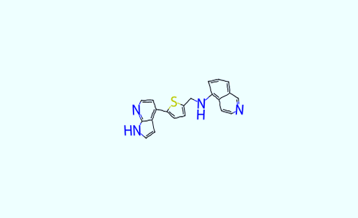 c1cc(NCc2ccc(-c3ccnc4[nH]ccc34)s2)c2ccncc2c1